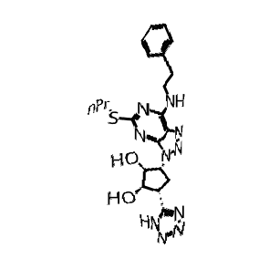 CCCSc1nc(NCCc2ccccc2)c2nnn([C@@H]3C[C@H](c4nnn[nH]4)[C@@H](O)[C@H]3O)c2n1